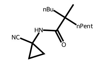 CCCCCC(C)(CCCC)C(=O)NC1(C#N)CC1